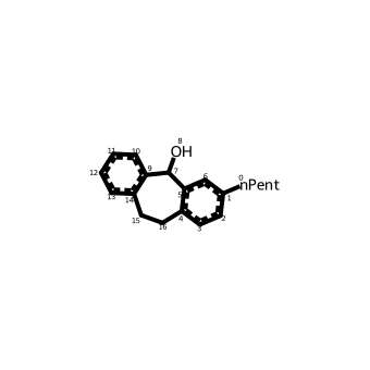 CCCCCc1ccc2c(c1)C(O)c1ccccc1CC2